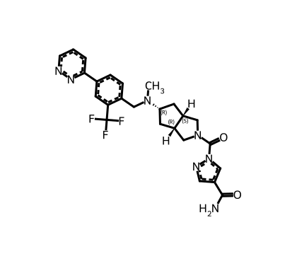 CN(Cc1ccc(-c2cccnn2)cc1C(F)(F)F)[C@@H]1C[C@@H]2CN(C(=O)n3cc(C(N)=O)cn3)C[C@@H]2C1